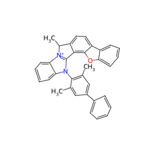 Cc1cc(-c2ccccc2)cc(C)c1-n1c2[n+](c3ccccc31)C(C)c1ccc3c(oc4ccccc43)c1-2